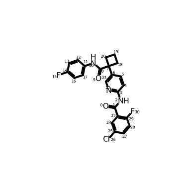 O=C(Nc1ccc(C2(C(=O)Nc3ccc(F)cc3)CCC2)cn1)c1cc(Cl)ccc1F